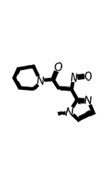 Cn1ccnc1C(CC(=O)N1CCCCC1)N=O